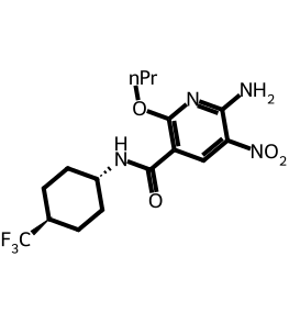 CCCOc1nc(N)c([N+](=O)[O-])cc1C(=O)N[C@H]1CC[C@H](C(F)(F)F)CC1